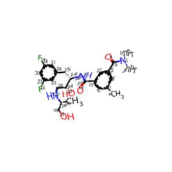 CCCN(CCC)C(=O)c1cc(C)cc(C(=O)N[C@@H](Cc2cc(F)cc(F)c2)[C@H](O)CN[C@@H](C)CO)c1